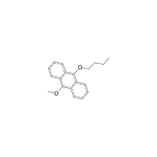 CCCCOc1c2ccccc2c(OC)c2ccccc12